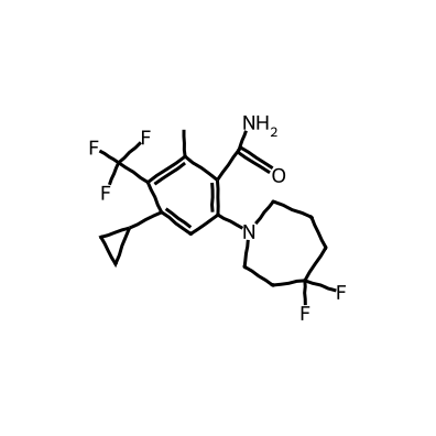 Cc1c(C(N)=O)c(N2CCCC(F)(F)CC2)cc(C2CC2)c1C(F)(F)F